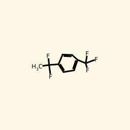 CC(F)(F)c1ccc(C(F)(F)F)cc1